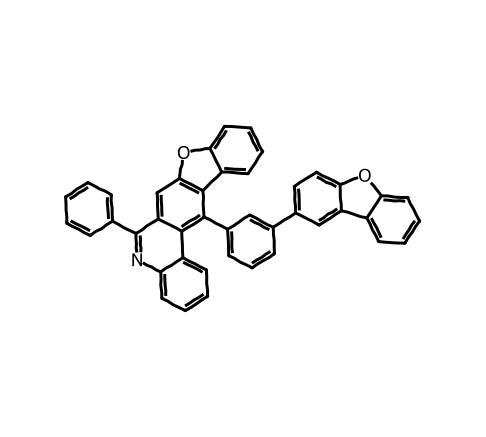 c1ccc(-c2nc3ccccc3c3c(-c4cccc(-c5ccc6oc7ccccc7c6c5)c4)c4c(cc23)oc2ccccc24)cc1